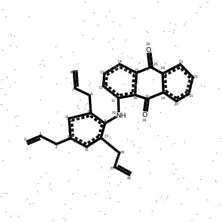 C=CCc1cc(CC=C)c(Nc2cccc3c2C(=O)c2ccccc2C3=O)c(CC=C)c1